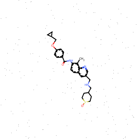 Cc1c(NC(=O)c2ccc(OCC3CC3)cc2)ccc2cc(CNCC3CC[S+]([O-])CC3)cnc12